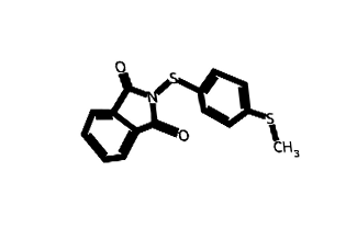 CSc1ccc(SN2C(=O)c3ccccc3C2=O)cc1